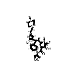 CC(c1nc(C(=O)Nc2cnoc2)c(O)c(=O)n1C)C(c1cnn(CCN2CCN(C)CC2)c1)c1ccccc1C#N